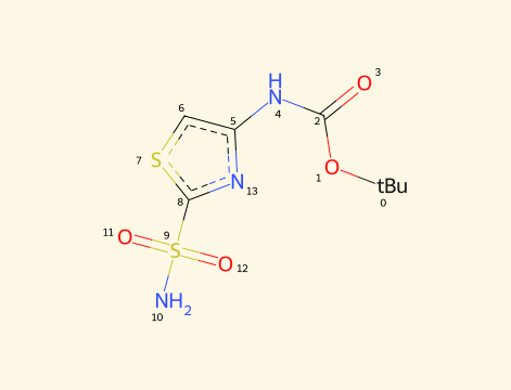 CC(C)(C)OC(=O)Nc1csc(S(N)(=O)=O)n1